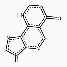 O=c1cc[nH]c2c1cnc1[nH]cnc12